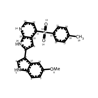 COc1ccc2[nH]cc(-c3cc4c(S(=O)(=O)c5ccc(C)cc5)ccnc4[nH]3)c2c1